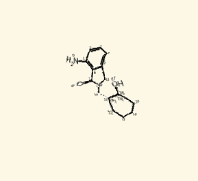 Nc1cccc2c1C(=O)N(C[C@H]1CCCC[C@@H]1O)C2